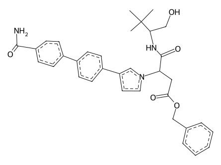 CC(C)(C)C(CO)NC(=O)C(CC(=O)OCc1ccccc1)n1ccc(-c2ccc(-c3ccc(C(N)=O)cc3)cc2)c1